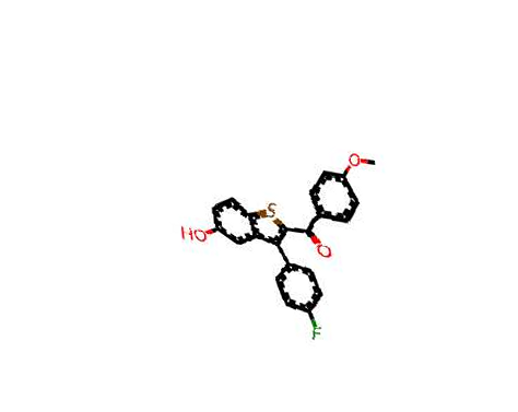 COc1ccc(C(=O)c2sc3ccc(O)cc3c2-c2ccc(F)cc2)cc1